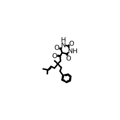 CC(C)=CCC(C)(CCc1ccccc1)CC(=O)C1C(=O)NC(=O)NC1=O